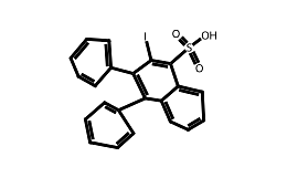 O=S(=O)(O)c1c(I)c(-c2ccccc2)c(-c2ccccc2)c2ccccc12